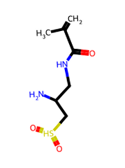 C=C(C)C(=O)NCC(N)C[SH](=O)=O